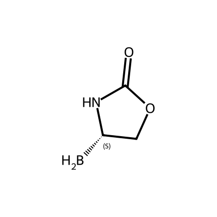 B[C@H]1COC(=O)N1